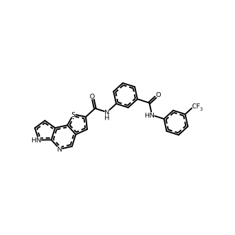 O=C(Nc1cccc(C(F)(F)F)c1)c1cccc(NC(=O)c2cc3cnc4[nH]ccc4c3s2)c1